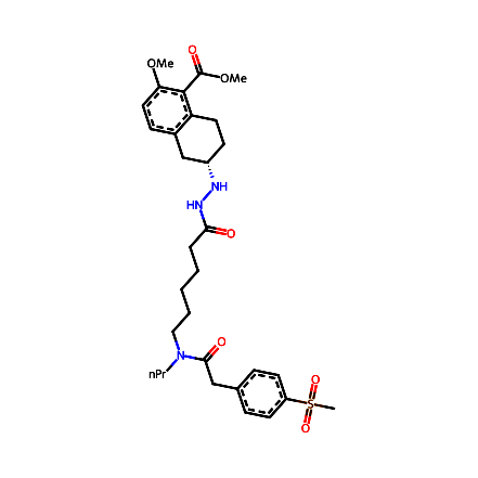 CCCN(CCCCCC(=O)NN[C@H]1CCc2c(ccc(OC)c2C(=O)OC)C1)C(=O)Cc1ccc(S(C)(=O)=O)cc1